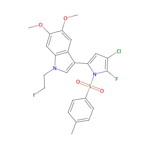 COc1cc2c(-c3cc(Cl)c(F)n3S(=O)(=O)c3ccc(C)cc3)cn(CCI)c2cc1OC